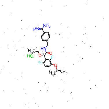 CCO[C@H](C(=O)NCc1ccc(C(=N)N)cc1)c1c(F)ccc(OC(C)C)c1F.Cl